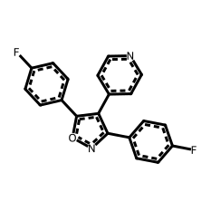 Fc1ccc(-c2noc(-c3ccc(F)cc3)c2-c2ccncc2)cc1